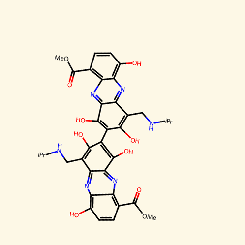 COC(=O)c1ccc(O)c2nc3c(CNC(C)C)c(O)c(-c4c(O)c(CNC(C)C)c5nc6c(O)ccc(C(=O)OC)c6nc5c4O)c(O)c3nc12